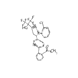 CC(=O)c1ccccc1-c1ccc(C2CC(C(O)(C(F)(F)F)C(F)(F)F)=NN2c2ccccc2Cl)cn1